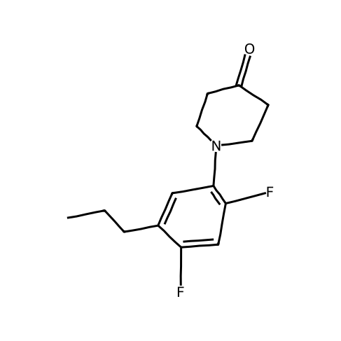 CCCc1cc(N2CCC(=O)CC2)c(F)cc1F